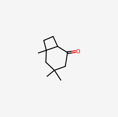 CC1(C)CC(=O)C2CCC2(C)C1